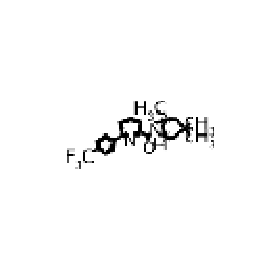 CC1(C)C[C@@H]2C[C@@](C)(CN2C(=O)c2cccc(-c3ccc(C(F)(F)F)cc3)n2)C1